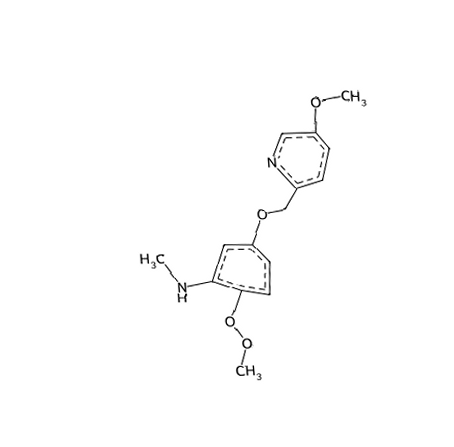 CNc1cc(OCc2ccc(OC)cn2)ccc1OOC